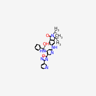 CCN1C(=O)c2ccc(Nc3cc(N[C@H](CO)c4ccccc4)c(-c4nc(-c5cccnc5)no4)cn3)cc2C1(C)C